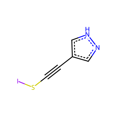 ISC#Cc1cn[nH]c1